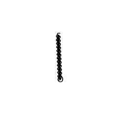 O=S=S=S=S=S=S=S=S=S=S=S=S=S=S=S=S=S=S=S=S=S=S=S=S